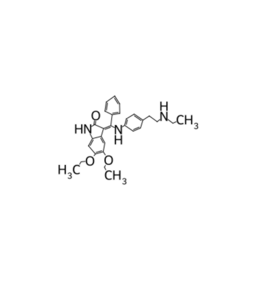 CCNCCc1ccc(NC(=C2C(=O)Nc3cc(OCC)c(OCC)cc32)c2ccccc2)cc1